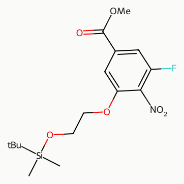 COC(=O)c1cc(F)c([N+](=O)[O-])c(OCCO[Si](C)(C)C(C)(C)C)c1